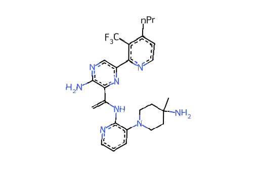 C=C(Nc1ncccc1N1CCC(C)(N)CC1)c1nc(-c2nccc(CCC)c2C(F)(F)F)cnc1N